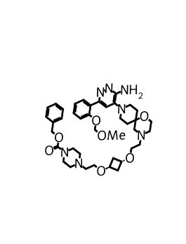 COCOc1ccccc1-c1cc(N2CCC3(CC2)CN(CCO[C@H]2C[C@H](OCCN4CCN(C(=O)OCc5ccccc5)CC4)C2)CCO3)c(N)nn1